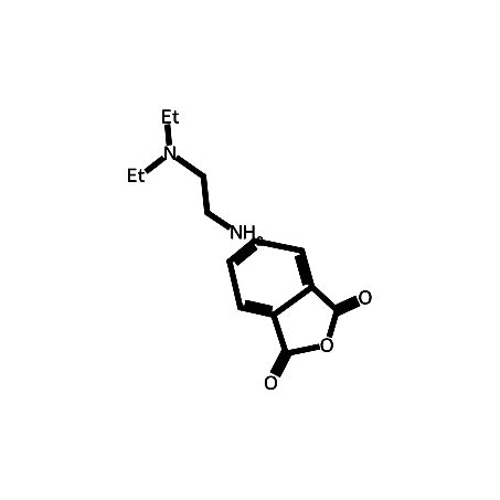 CCN(CC)CCN.O=C1OC(=O)c2ccccc21